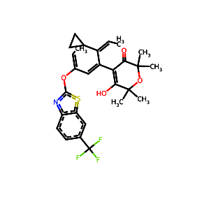 C\C=C(/C(=C\C(=C/C)Oc1nc2ccc(C(F)(F)F)cc2s1)C1=C(O)C(C)(C)OC(C)(C)C1=O)C1CC1